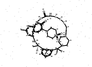 Cc1nc2c3cc(N4CCS(=O)(=O)CC4)c(=O)n(c3n1)CC(=O)NCCCCN1CCC(CC1)C(F)(F)c1cccc(c1F)[C@@H](C)N2